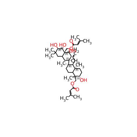 C=CCC1[C@@]2(C)CC[C@H](O)[C@](C)(COC(=O)C=C(C)C)C2CC[C@@]1(C)[C@@]1(C)CC2CC(C)(C)[C@@H](O)[C@H](O)[C@]2(COC(=O)C=C(C)C)[C@H](O)C1